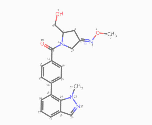 CO/N=C1\CC(CO)N(C(=O)c2ccc(-c3cccc4cnn(C)c34)cc2)C1